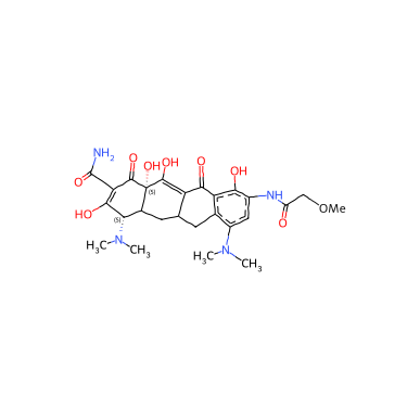 COCC(=O)Nc1cc(N(C)C)c2c(c1O)C(=O)C1=C(O)[C@]3(O)C(=O)C(C(N)=O)=C(O)[C@@H](N(C)C)C3CC1C2